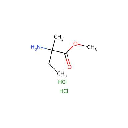 CCC(C)(N)C(=O)OC.Cl.Cl